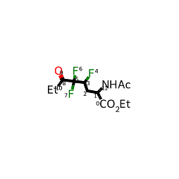 CCOC(=O)C(CC(F)C(F)(F)C(=O)CC)NC(C)=O